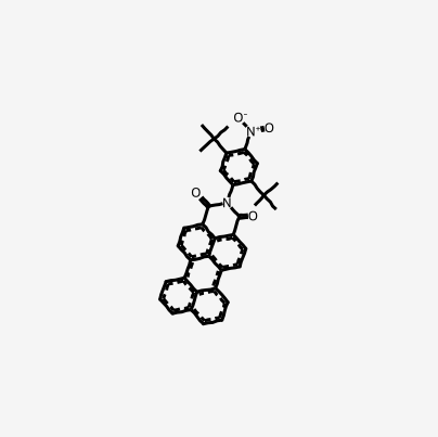 CC(C)(C)c1cc([N+](=O)[O-])c(C(C)(C)C)cc1N1C(=O)c2ccc3c4cccc5cccc(c6ccc(c2c36)C1=O)c54